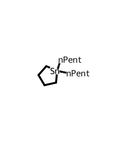 CCCC[CH2][Sn]1([CH2]CCCC)[CH2]CC[CH2]1